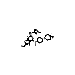 CCc1nc2c(N[C@H]3CC[C@@H](N4CCC(F)(F)CC4)CC3)nc(Nc3cnn(C)c3)nc2s1